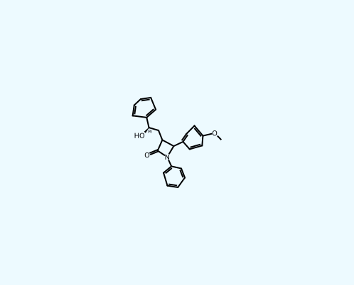 COc1ccc(C2C(C[C@@H](O)c3ccccc3)C(=O)N2c2ccccc2)cc1